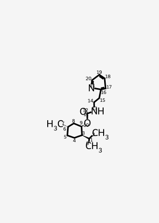 CC(C)[C@H]1CC[C@H](C)C[C@@H]1OC(=O)NCCc1ccccn1